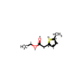 CCOC(=O)Cc1ccc(C)s1